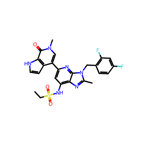 CCS(=O)(=O)Nc1cc(-c2cn(C)c(=O)c3[nH]ccc23)nc2c1nc(C)n2Cc1ccc(F)cc1F